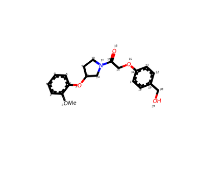 COc1ccccc1OC1CCN(C(=O)COc2ccc(CO)cc2)C1